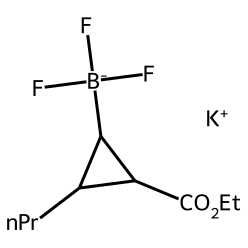 CCCC1C(C(=O)OCC)C1[B-](F)(F)F.[K+]